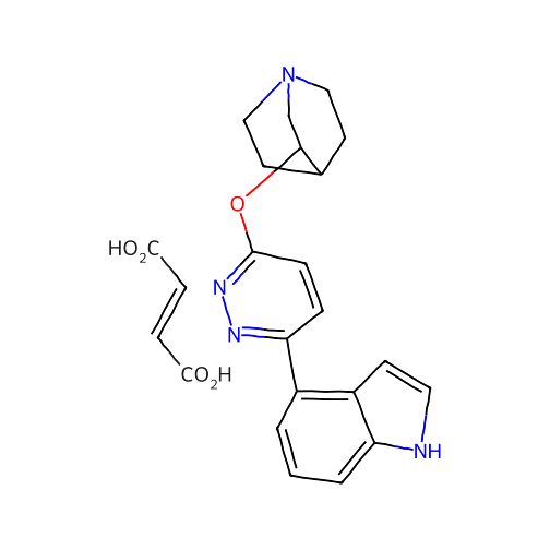 O=C(O)C=CC(=O)O.c1cc(-c2ccc(OC3CN4CCC3CC4)nn2)c2cc[nH]c2c1